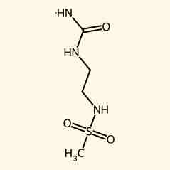 CS(=O)(=O)NCCNC([NH])=O